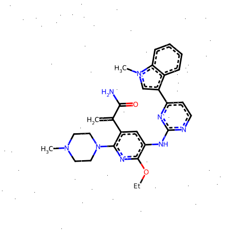 C=C(C(N)=O)c1cc(Nc2nccc(-c3cn(C)c4ccccc34)n2)c(OCC)nc1N1CCN(C)CC1